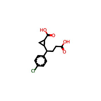 O=C(O)CCC(c1ccc(Cl)cc1)C1CC1C(=O)O